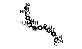 CC(C)(C)c1cc(NC(=O)Cc2ccc(-c3n[nH]c4c(-c5cn(C6CCN(C(=O)CC7(O)CCN(c8ccc(N[C@H]9CCC(=O)NC9=O)cc8F)CC7)CC6)nn5)cnc(N)c34)cc2)no1